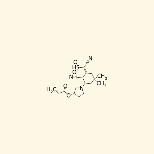 C=CC(=O)OC1CCN(C2CC(C)(C)C/C(=C(\C#N)[SH](=O)=O)C2C#N)C1